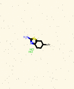 CCCC1CCc2nc(N)sc2C1.Cl.Cl